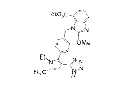 CCOC(=O)c1cccc2nc(OC)n(Cc3ccc(-c4c(-c5nnn[nH]5)cc(C)n4CC)cc3)c12